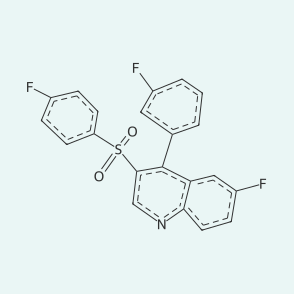 O=S(=O)(c1ccc(F)cc1)c1cnc2ccc(F)cc2c1-c1cccc(F)c1